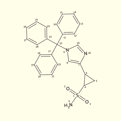 NS(=O)(=O)C1CC1c1cn(C(c2ccccc2)(c2ccccc2)c2ccccc2)cn1